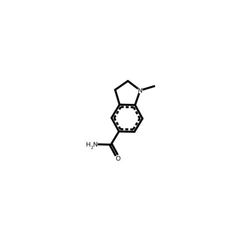 CN1CCc2cc(C(N)=O)ccc21